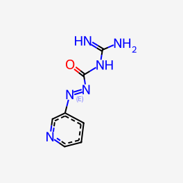 N=C(N)NC(=O)/N=N/c1cccnc1